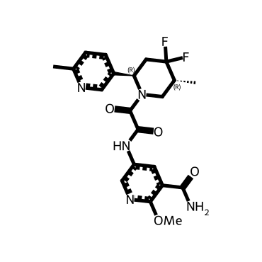 COc1ncc(NC(=O)C(=O)N2C[C@@H](C)C(F)(F)C[C@@H]2c2ccc(C)nc2)cc1C(N)=O